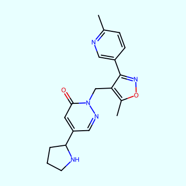 Cc1ccc(-c2noc(C)c2Cn2ncc(C3CCCN3)cc2=O)cn1